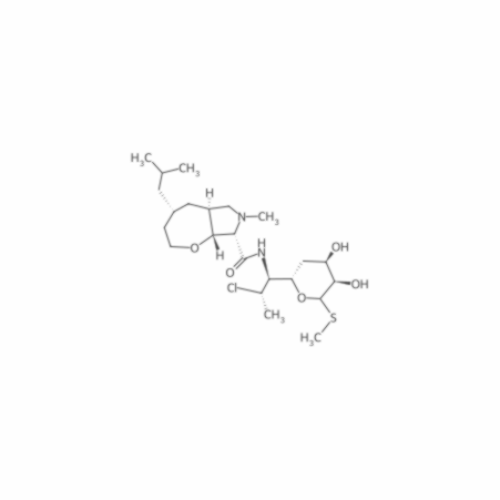 CSC1O[C@H]([C@H](NC(=O)[C@@H]2[C@@H]3OCC[C@H](CC(C)C)C[C@H]3CN2C)[C@H](C)Cl)C[C@@H](O)[C@H]1O